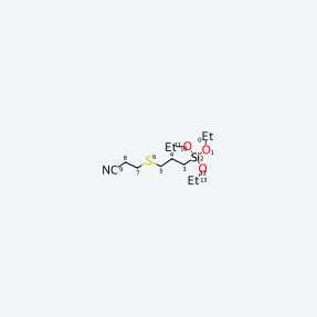 CCO[Si](CCCSCCC#N)(OCC)OCC